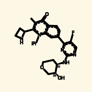 Cc1c(C2CCN2)n(C(C)C)c2cc(-c3nc(N[C@@H]4CCOC[C@H]4O)ncc3F)ccc2c1=O